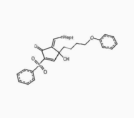 CCCCCCCC=C1C(=O)C(S(=O)(=O)c2ccccc2)=CC1(O)CCCCOc1ccccc1